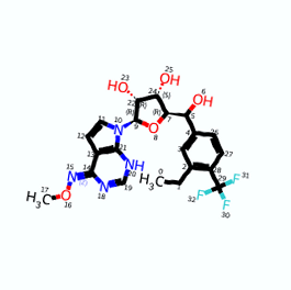 CCc1cc(C(O)[C@H]2O[C@@H](n3ccc4/c(=N/OC)nc[nH]c43)[C@H](O)[C@@H]2O)ccc1C(F)(F)F